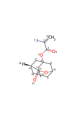 C=C(I)C(=O)OC12CC3CC(C1)OC(=O)[C@H](C3)C2